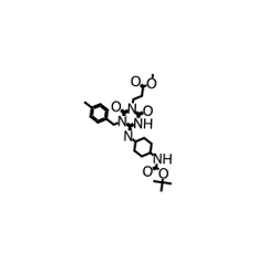 COC(=O)CCn1c(=O)[nH]/c(=N\C2CCC(NC(=O)OC(C)(C)C)CC2)n(Cc2ccc(C)cc2)c1=O